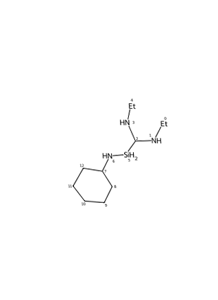 CCNC(NCC)[SiH2]NC1CCCCC1